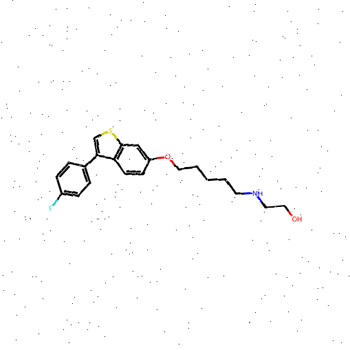 OCCNCCCCCOc1ccc2c(-c3ccc(F)cc3)csc2c1